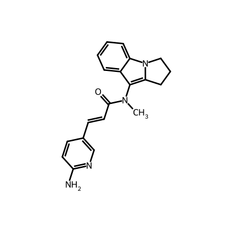 CN(C(=O)C=Cc1ccc(N)nc1)c1c2n(c3ccccc13)CCC2